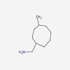 CC1CCCCC(CN)CC1